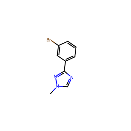 Cn1cnc(-c2cccc(Br)c2)n1